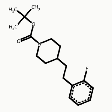 CC(C)(C)OC(=O)N1CCC(CCc2ccccc2F)CC1